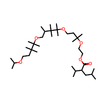 CC(C)CC(C(=O)OCCOC(C)(C)CCOC(C)(C)C(C)(C)C(C)COC(C)(C)C(C)(C)CCOC(C)C)C(C)C